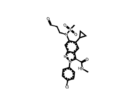 CNC(=O)c1c2cc(C3CC3)c(N(CCC=O)S(C)(=O)=O)cc2nn1-c1ccc(Cl)cc1